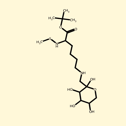 CSNC(CCCCNCC1(O)OCC(O)C(O)C1O)C(=O)OC(C)(C)C